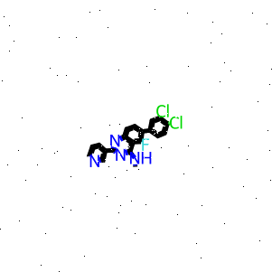 CNc1nc(-c2cccnc2)nc2ccc(-c3ccc(Cl)c(Cl)c3)c(F)c12